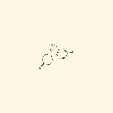 Cc1cc(F)ccc1C1(O)CCC(=O)CC1